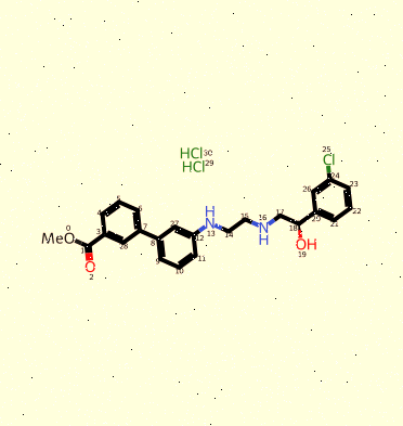 COC(=O)c1cccc(-c2cccc(NCCNC[C@H](O)c3cccc(Cl)c3)c2)c1.Cl.Cl